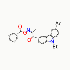 CCn1c2ccc(C(C)=O)cc2c2cc(C(=O)/C(C)=N\OC(=O)c3ccccc3)ccc21